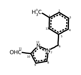 Cc1cccc(Cn2ccc(C=O)n2)c1